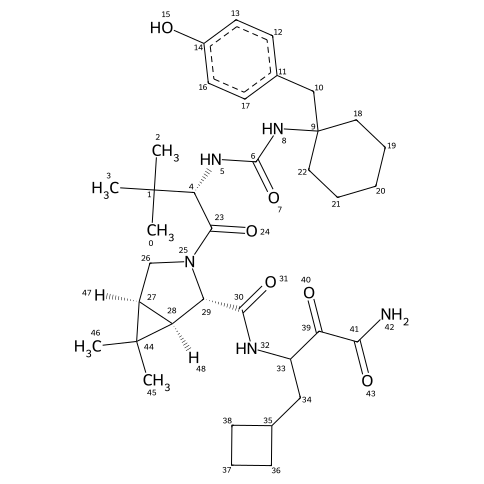 CC(C)(C)[C@H](NC(=O)NC1(Cc2ccc(O)cc2)CCCCC1)C(=O)N1C[C@H]2[C@@H]([C@H]1C(=O)NC(CC1CCC1)C(=O)C(N)=O)C2(C)C